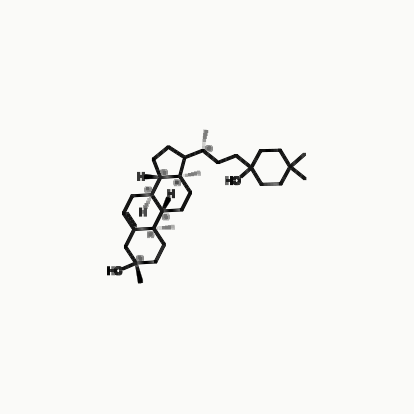 C[C@H](CCC1(O)CCC(C)(C)CC1)C1CC[C@H]2[C@@H]3CC=C4C[C@@](C)(O)CC[C@]4(C)[C@H]3CC[C@]12C